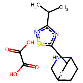 CC(C)c1nsc(C2CC3CCC2NC3)n1.O=C(O)C(=O)O